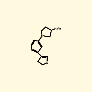 CNC1CCN(c2ccnc(C3=CSCC3)c2)C1